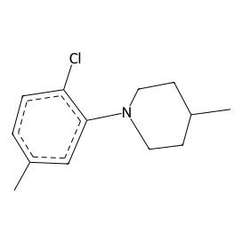 Cc1ccc(Cl)c(N2CCC(C)CC2)c1